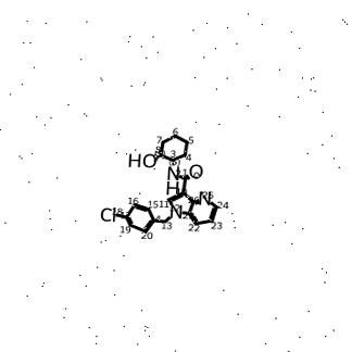 O=C(N[C@H]1CCCC[C@@H]1O)c1cn(Cc2ccc(Cl)cc2)c2cccnc12